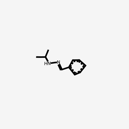 CC(C)NN=Cc1ccccc1